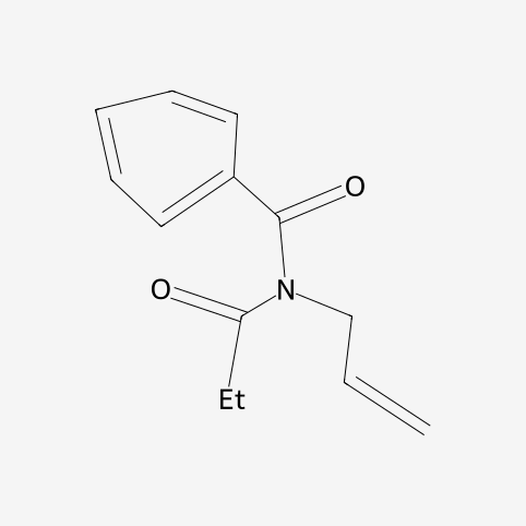 C=CCN(C(=O)CC)C(=O)c1ccccc1